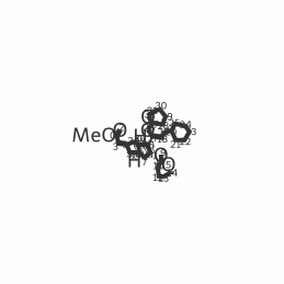 COC(=O)C=C1C[C@@H]2C[C@@H](OC3CCCCO3)[C@H](C(=CCC3CCCCC3)OC3CCCCO3)[C@@H]2C1